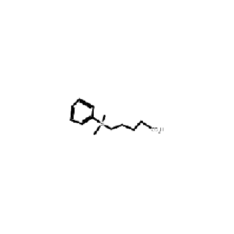 C[Si](C)(CCCCC(=O)O)c1ccccc1